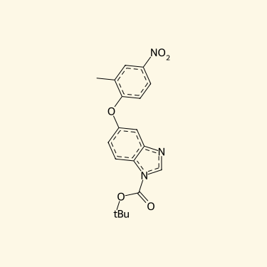 Cc1cc([N+](=O)[O-])ccc1Oc1ccc2c(c1)ncn2C(=O)OC(C)(C)C